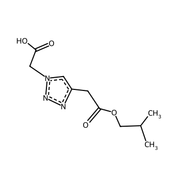 CC(C)COC(=O)Cc1cn(CC(=O)O)nn1